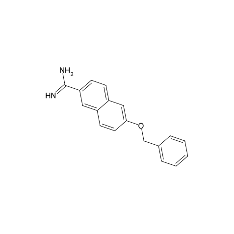 N=C(N)c1ccc2cc(OCc3ccccc3)ccc2c1